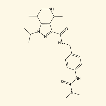 CC1CNC(C)c2c(C(=O)NCc3ccc(NC(=O)N(C)C)cc3)nn(C(C)C)c21